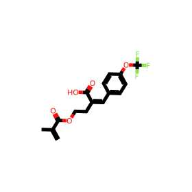 C=C(C)C(=O)OCCC(=Cc1ccc(OC(F)(F)F)cc1)C(=O)O